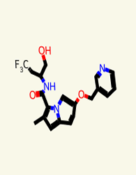 Cc1cc2ccc(OCc3cccnc3)cn2c1C(=O)NC(CO)CC(F)(F)F